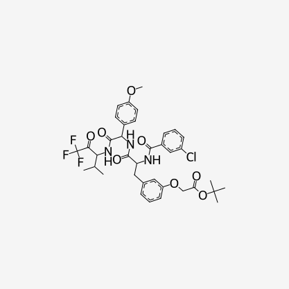 COc1ccc(C(NC(=O)C(Cc2cccc(OCC(=O)OC(C)(C)C)c2)NC(=O)c2cccc(Cl)c2)C(=O)NC(C(=O)C(F)(F)F)C(C)C)cc1